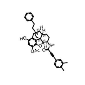 CC(=O)Oc1cc(O)c2c3c1O[C@H]1[C@H](N(C)C(=O)C#Cc4ccc(C)c(C)c4)CC[C@H]4[C@@H](C2)N(CCc2ccccc2)CC[C@@]341